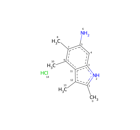 Cc1[nH]c2cc(N)c(C)c(C)c2c1C.Cl